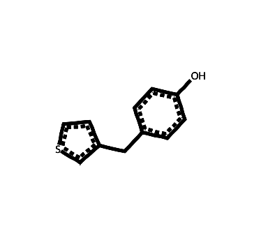 Oc1ccc(Cc2[c]scc2)cc1